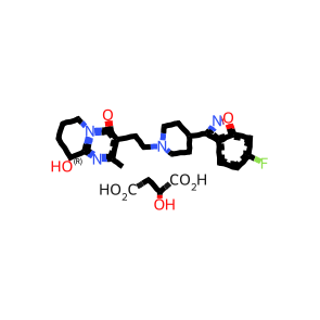 Cc1nc2n(c(=O)c1CCN1CCC(c3noc4cc(F)ccc34)CC1)CCC[C@H]2O.O=C(O)CC(O)C(=O)O